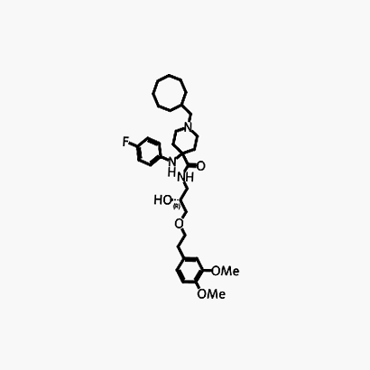 COc1ccc(CCOC[C@H](O)CNC(=O)C2(Nc3ccc(F)cc3)CCN(CC3CCCCCCC3)CC2)cc1OC